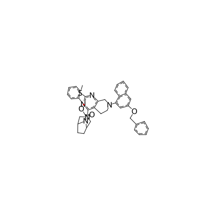 CSc1nc2c(c(N3CC4CCC(C3)N4C(=O)OCc3ccccc3)n1)CCN(c1cc(OCc3ccccc3)cc3ccccc13)C2